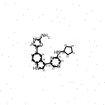 Nc1nnc(-c2ccc3[nH]cc(-c4cncc(NC5CCCC5)n4)c3c2)o1